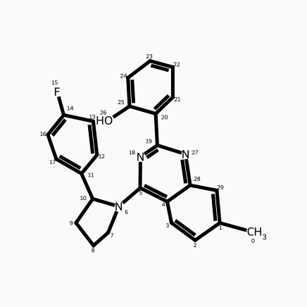 Cc1ccc2c(N3CCCC3c3ccc(F)cc3)nc(-c3ccccc3O)nc2c1